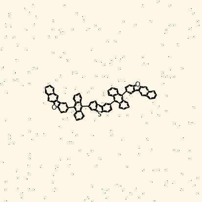 c1ccc2cc3c(cc2c1)oc1ccc(-c2c4ccccc4c(-c4ccc5c(c4)sc4ccc(-c6c7ccccc7c(-c7ccc8oc9cc%10ccccc%10cc9c8c7)c7ccccc67)cc45)c4ccccc24)cc13